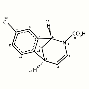 O=C(O)N1C=C[C@@H]2C[C@H]1c1cc(Cl)ccc12